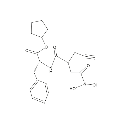 C#CCC(CC(=O)N(O)O)C(=O)N[C@H](Cc1ccccc1)C(=O)OC1CCCC1